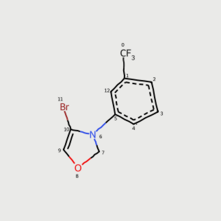 FC(F)(F)c1cc[c]c(N2COC=C2Br)c1